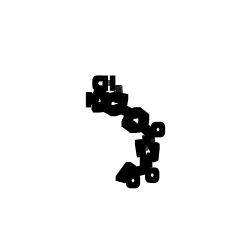 Cn1ncc2cc(-c3ccc(C(=O)N4CCN(C(=O)C5CCO5)CC4)cc3)ccc21